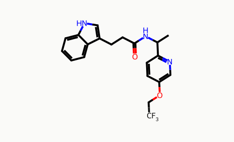 CC(NC(=O)CCc1c[nH]c2ccccc12)c1ccc(OCC(F)(F)F)cn1